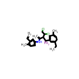 C=Cc1cc(NC(=C)C(C(Cl)CCl)C(P)C2=CC(C)=CCC(CC)=C2)ccc1C